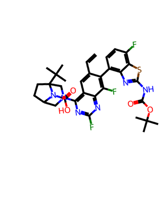 C=Cc1cc2c(N3CC4CCC(C(C)(C)C)(C3)N4C(=O)O)nc(F)nc2c(F)c1-c1ccc(F)c2sc(NC(=O)OC(C)(C)C)nc12